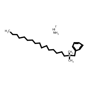 CCCCCCCCCCCCCCCC[N+](C)(C)Cc1ccccc1.I.N.[I-]